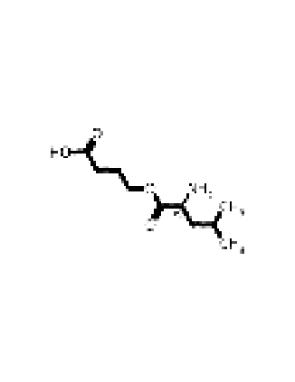 CC(C)C[C@H](N)C(=O)OCCCC(=O)O